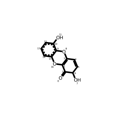 O=C1C2=C(C=CC1O)Oc1c(O)cccc1O2